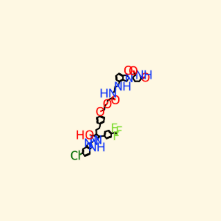 O=C(COCCOc1ccc(CCc2c(-c3ccc(C(F)(F)F)cc3)nn(-c3nc4cc(Cl)ccc4[nH]3)c2O)cc1)NCCNc1cccc2c1CN(C1CCC(=O)NC1=O)C2=O